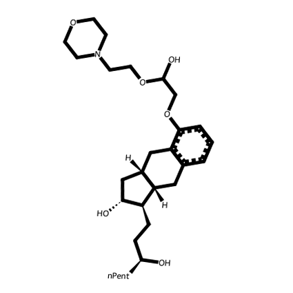 CCCCC[C@H](O)CC[C@@H]1[C@H]2Cc3cccc(OCC(O)OCCN4CCOCC4)c3C[C@H]2C[C@H]1O